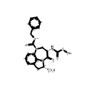 CC(C)(C)OC(=O)N[C@H]1CN(C(=O)OCc2ccccc2)c2cccc3c2N(C1=O)[C@H](C(=O)O)C3